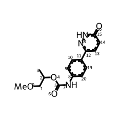 COCC(C)OC(=O)Nc1ccc(-c2ccc(=O)[nH]n2)cc1